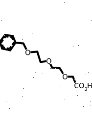 O=C(O)COCCOCCOCc1ccccc1